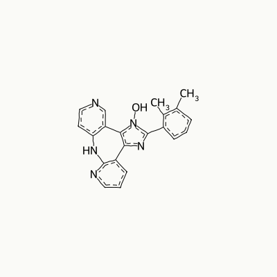 Cc1cccc(-c2nc3c(n2O)-c2cnccc2Nc2ncccc2-3)c1C